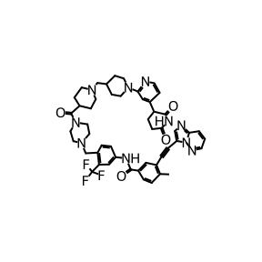 Cc1ccc(C(=O)Nc2ccc(CN3CCN(C(=O)C4CCN(CC5CCN(c6cc(C7CCC(=O)NC7=O)ccn6)CC5)CC4)CC3)c(C(F)(F)F)c2)cc1C#Cc1cnc2cccnn12